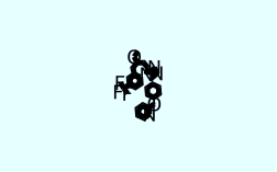 COC1Cc2cc(C(F)(F)F)ccc2-n2c(nnc2[C@H]2CC[C@H](Oc3ccccn3)CC2)C1